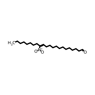 CCCCCCCC/C(=C/CCCCCCCCCCCC=O)[N+](=O)[O-]